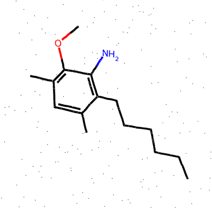 CCCCCCc1c(C)cc(C)c(OC)c1N